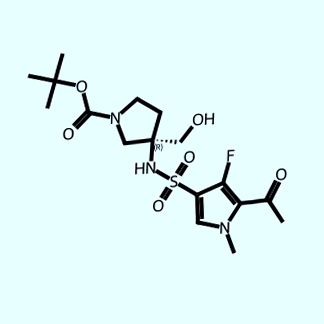 CC(=O)c1c(F)c(S(=O)(=O)N[C@]2(CO)CCN(C(=O)OC(C)(C)C)C2)cn1C